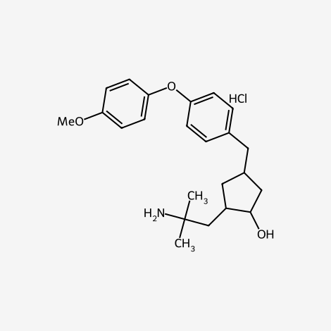 COc1ccc(Oc2ccc(CC3CC(O)C(CC(C)(C)N)C3)cc2)cc1.Cl